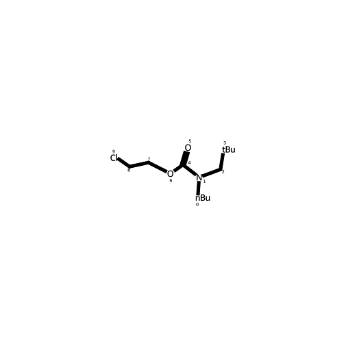 CCCCN(CC(C)(C)C)C(=O)OCCCl